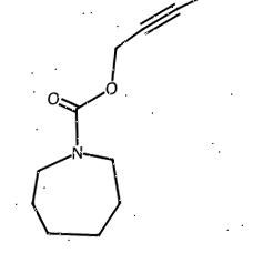 CC#CCOC(=O)N1CCCCCC1